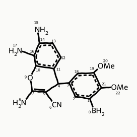 Bc1cc(C2C(C#N)=C(N)Oc3c2ccc(N)c3N)cc(OC)c1OC